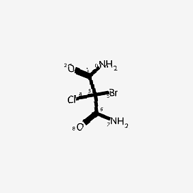 NC(=O)C(Cl)(Br)C(N)=O